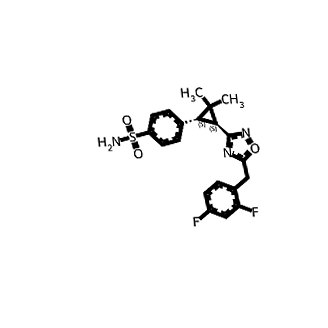 CC1(C)[C@@H](c2ccc(S(N)(=O)=O)cc2)[C@@H]1c1noc(Cc2ccc(F)cc2F)n1